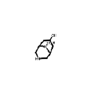 O=C(O)N1C2CNCC1CC(O)C2